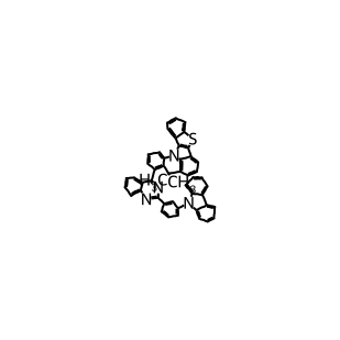 CC1(C)c2c(-c3nc(-c4cccc(-n5c6ccccc6c6ccccc65)c4)nc4ccccc34)cccc2-n2c3c1cccc3c1sc3ccccc3c12